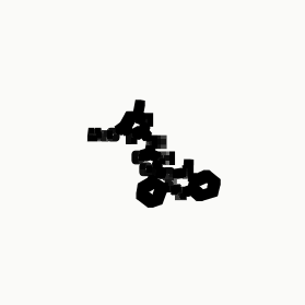 COc1cc(C)nc(NC(=O)NS(=O)(=O)c2ccccc2N=Nc2ccccc2N(C)C)n1